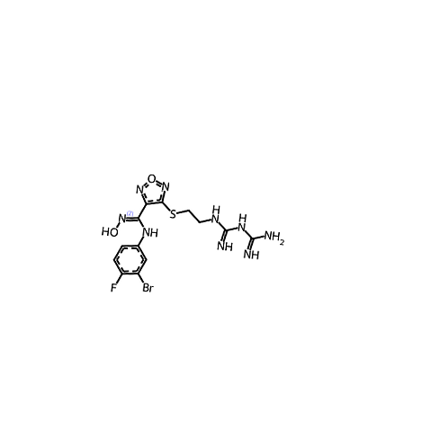 N=C(N)NC(=N)NCCSc1nonc1/C(=N/O)Nc1ccc(F)c(Br)c1